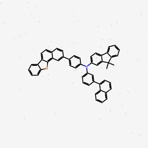 CC1(C)c2ccccc2-c2ccc(N(c3ccc(-c4ccc5ccc6c7ccccc7sc6c5c4)cc3)c3cccc(-c4cccc5ccccc45)c3)cc21